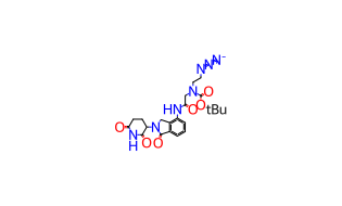 CC(C)(C)OC(=O)N(CCN=[N+]=[N-])CC(=O)Nc1cccc2c1CN(C1CCC(=O)NC1=O)C2=O